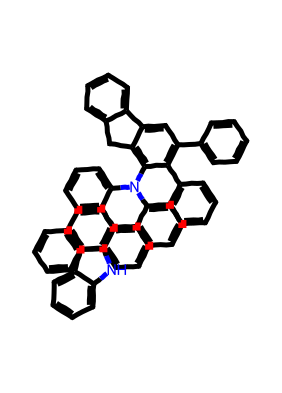 c1ccc(-c2ccccc2-c2ccccc2N(c2ccccc2-c2cccc3c2[nH]c2ccccc23)c2c3c(cc(-c4ccccc4)c2-c2ccccc2)-c2ccccc2C3)cc1